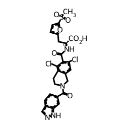 CS(=O)(=O)c1ccc(C[C@H](NC(=O)c2c(Cl)cc3c(c2Cl)CCN(C(=O)c2ccc4cn[nH]c4c2)C3)C(=O)O)o1